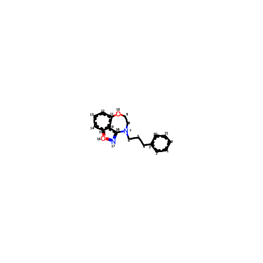 c1ccc(CCCN2CCOc3cccc4onc2c34)cc1